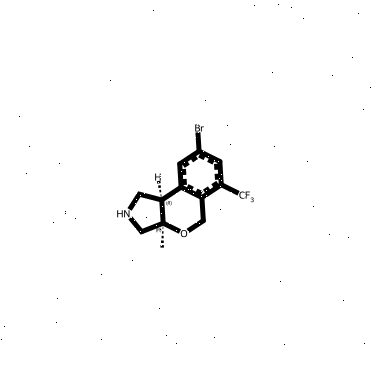 C[C@]12CNC[C@H]1c1cc(Br)cc(C(F)(F)F)c1CO2